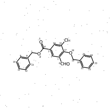 O=Cc1cc(C(=O)OCc2ccccc2)cc(Cl)c1OCc1ccccc1